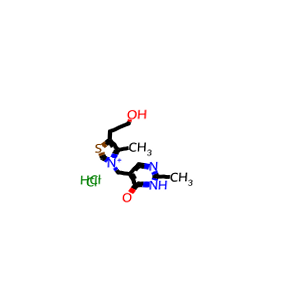 Cc1ncc(C[n+]2csc(CCO)c2C)c(=O)[nH]1.Cl.[Cl-]